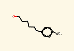 [O]CCCCCCc1ccc([N+](=O)[O-])cc1